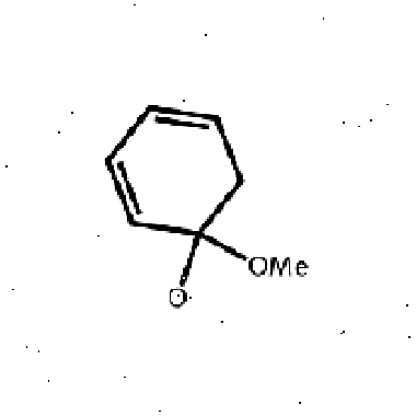 COC1([O])C=CC=CC1